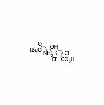 CC(C)(C)OC(=O)CC(N)C(O)Cc1ccc(Cl)c(C(=O)O)c1Cl